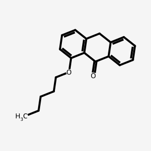 CCCCCOc1cccc2c1C(=O)c1ccccc1C2